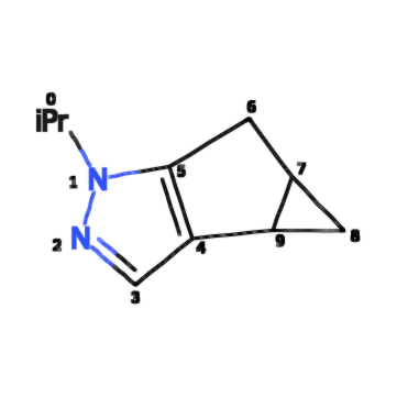 CC(C)n1ncc2c1CC1CC21